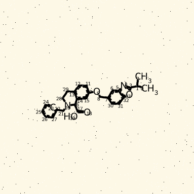 CC(C)c1nc2cc(COc3ccc4c(c3)C(C(=O)O)N(Cc3ccccc3)CC4)ccc2o1